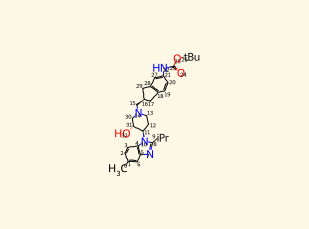 Cc1ccc2c(c1)nc(C(C)C)n2[C@@H]1CCN(C[C@@H]2Cc3ccc(NC(=O)OC(C)(C)C)cc3C2)C[C@H]1O